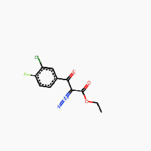 CCOC(=O)C(=[N+]=[N-])C(=O)c1ccc(F)c(Cl)c1